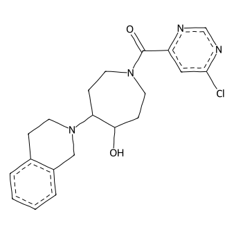 O=C(c1cc(Cl)ncn1)N1CCC(O)C(N2CCc3ccccc3C2)CC1